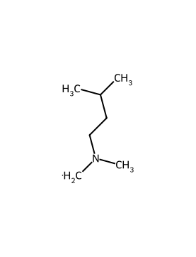 [CH2]N(C)CCC(C)C